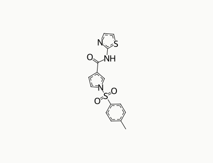 Cc1ccc(S(=O)(=O)n2ccc(C(=O)Nc3nccs3)c2)cc1